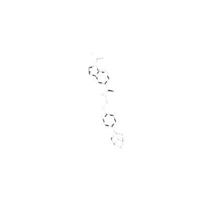 O=C(NCCc1ccc(N2CC3CC(C2)N3)cc1)c1cnc2c(ccn2C(F)F)c1